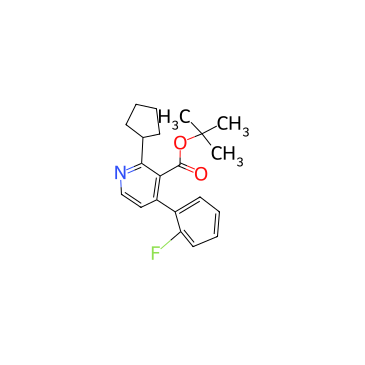 CC(C)(C)OC(=O)c1c(-c2ccccc2F)ccnc1C1CCCC1